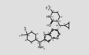 N[C@H](c1cn2ncc([C@@H](C3CC3)N3CCC(C(F)(F)F)NC3=O)cc2n1)C1CCC(F)(F)CC1